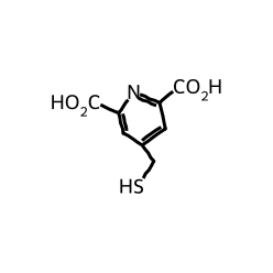 O=C(O)c1cc(CS)cc(C(=O)O)n1